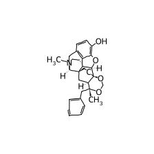 CN1CC[C@]23c4c5ccc(O)c4O[C@H]2[C@@]24CC[C@@]3(C[C@@H]2[C@@](C)(Cc2ccccc2)OCO4)[C@H]1C5